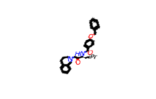 CC(C)C[C@H](NC(=O)c1ccc(OCc2ccccc2)cc1)C(=O)CN1CCCc2ccccc2C1